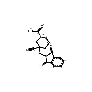 N#CC1(CN2C(=O)c3ccccc3C2=O)CCCN(C(=O)O)C1